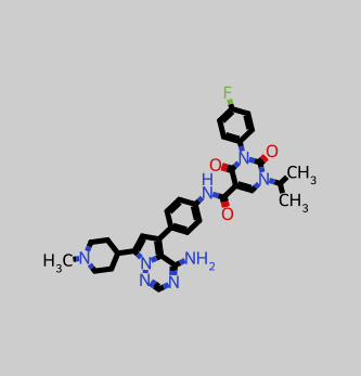 CC(C)n1cc(C(=O)Nc2ccc(-c3cc(C4CCN(C)CC4)n4ncnc(N)c34)cc2)c(=O)n(-c2ccc(F)cc2)c1=O